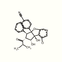 CN(C)C(=O)[C@H]1[C@@H](O)[C@@]2(O)c3c(Cl)cncc3O[C@@]2(c2ccc(C#N)cc2)[C@@H]1c1ccccc1